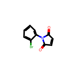 O=C1C=CC(=O)N1c1ccccc1Br